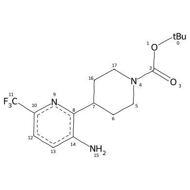 CC(C)(C)OC(=O)N1CCC(c2nc(C(F)(F)F)ccc2N)CC1